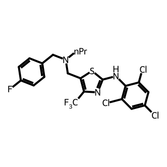 CCCN(Cc1ccc(F)cc1)Cc1sc(Nc2c(Cl)cc(Cl)cc2Cl)nc1C(F)(F)F